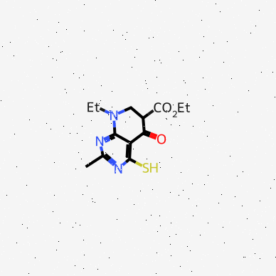 CCOC(=O)C1CN(CC)c2nc(C)nc(S)c2C1=O